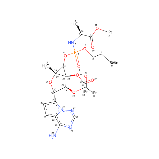 CSCCOP(=O)(N[C@@H](C)C(=O)OC(C)C)OC1[C@@]2(C)O[C@@H](c3ccc4c(N)ncnn34)[C@H](OC(=O)C(C)C)[C@@]12OC(=O)C(C)C